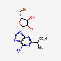 CCCCC(C(=O)O)c1nc(N)c2ncn([C@@H]3O[C@H](CS)[C@@H](O)[C@H]3O)c2n1